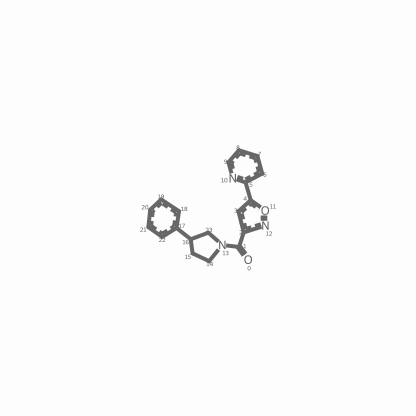 O=C(c1cc(-c2ccccn2)on1)N1CCC(c2ccccc2)C1